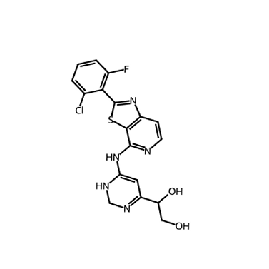 OCC(O)C1=NCNC(Nc2nccc3nc(-c4c(F)cccc4Cl)sc23)=C1